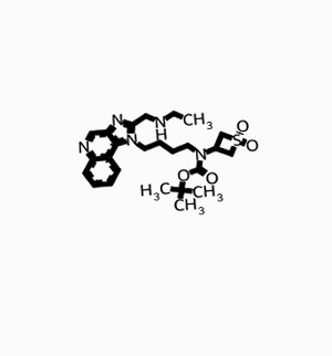 CCNCc1nc2cnc3ccccc3c2n1CCCCN(C(=O)OC(C)(C)C)C1CS(=O)(=O)C1